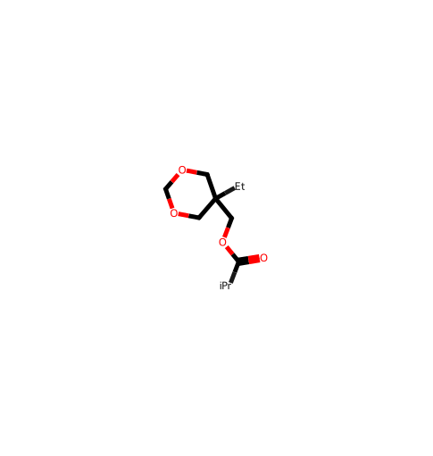 CCC1(COC(=O)C(C)C)COCOC1